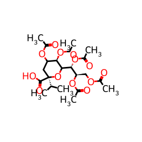 CC(=O)OC[C@@H](OC(C)=O)[C@@H](OC(C)=O)C1O[C@](C(=O)O)(C(C)C)CC(OC(C)=O)[C@H]1OC(C)=O